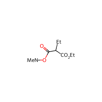 CCOC(=O)C(CC)C(=O)ONC